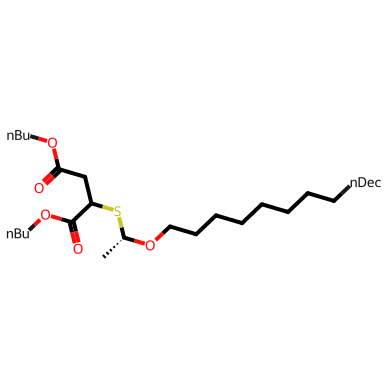 CCCCCCCCCCCCCCCCCCO[C@H](C)SC(CC(=O)OCCCC)C(=O)OCCCC